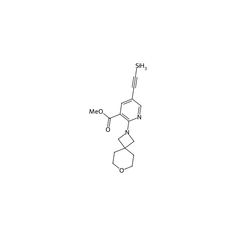 COC(=O)c1cc(C#C[SiH3])cnc1N1CC2(CCOCC2)C1